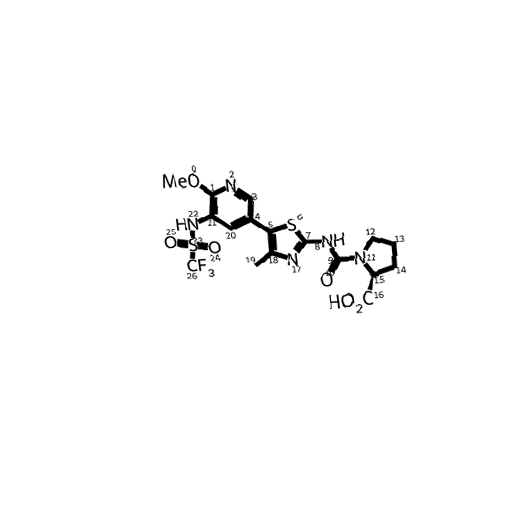 COc1ncc(-c2sc(NC(=O)N3CCC[C@H]3C(=O)O)nc2C)cc1NS(=O)(=O)C(F)(F)F